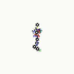 CN(C)CC[C@H](CSc1ccccc1)Nc1ccc(S(=O)(=O)NC(=O)c2ccc(N3CCN(Cc4ccccc4-c4ccc(Cl)cc4)CC3)cc2)cc1S(=O)(=O)C(F)(F)C(F)(F)F